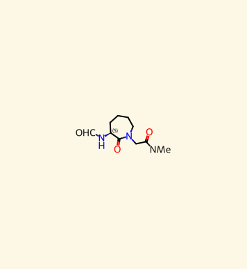 CNC(=O)CN1CCCC[C@H](NC=O)C1=O